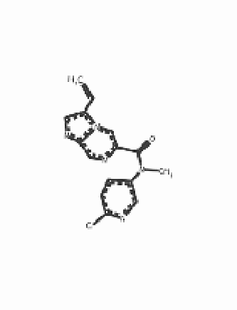 C=Cc1cnc2cnc(C(=O)N(C)c3ccc(Cl)nc3)cn12